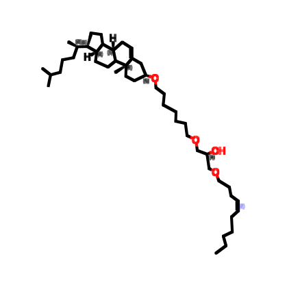 CCCCC/C=C\CCCOC[C@H](O)COCCCCCCCO[C@H]1CC[C@@]2(C)C(=CC[C@H]3C4CC[C@H]([C@H](C)CCCC(C)C)[C@H]4CCC32)C1